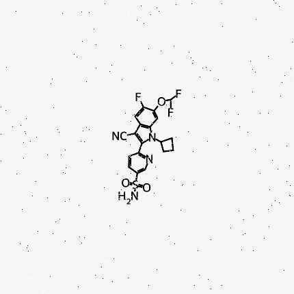 N#Cc1c(-c2ccc(S(N)(=O)=O)cn2)n(C2CCC2)c2cc(OC(F)F)c(F)cc12